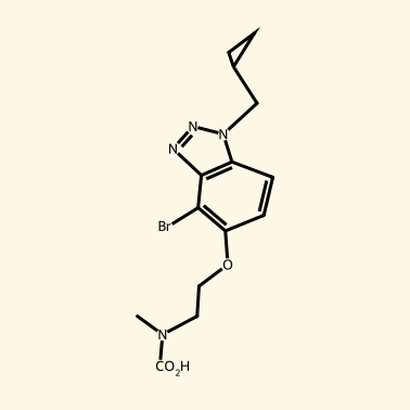 CN(CCOc1ccc2c(nnn2CC2CC2)c1Br)C(=O)O